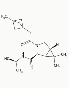 C[C@@H](C#N)NC(=O)[C@@H]1C2[C@H](CN1C(=O)CC13CC(C(F)(F)F)(C1)C3)C2(C)C